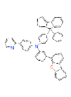 c1ccc(C2(c3ccc(N(c4ccc(-c5ccccn5)cc4)c4cccc(-c5cccc6c5oc5ccccc56)c4)cc3)c3ccccc3-c3ccccc32)cc1